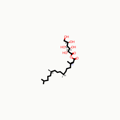 C/C(=C\C(=O)OC(=O)[C@H](O)[C@@H](O)[C@H](O)[C@H](O)CO)CCC[C@H](C)CCC[C@H](C)CCCC(C)C